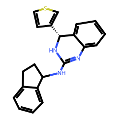 c1ccc2c(c1)CCC2NC1=Nc2ccccc2[C@@H](c2ccsc2)N1